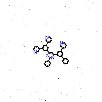 c1ccc(-c2cc(-c3cccnc3)cc(-c3cc(-c4cc(-c5cccnc5)cc(-c5cccnc5)c4)nc(-c4ccccc4)n3)c2)cc1